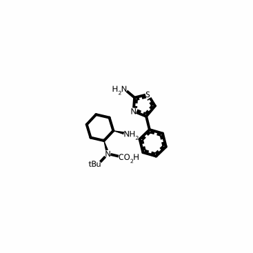 CC(C)(C)N(C(=O)O)[C@H]1CCCC[C@H]1N.Nc1nc(-c2ccccc2)cs1